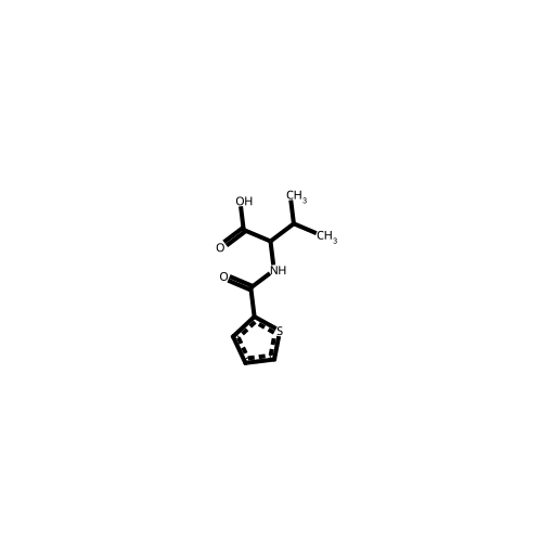 CC(C)C(NC(=O)c1cccs1)C(=O)O